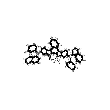 Cn1c2cc(N(c3ccccc3)c3cccc4ccccc34)ccc2c2c3ccccc3c3c4ccc(N(c5ccccc5)c5cccc6ccccc56)cc4n(C)c3c21